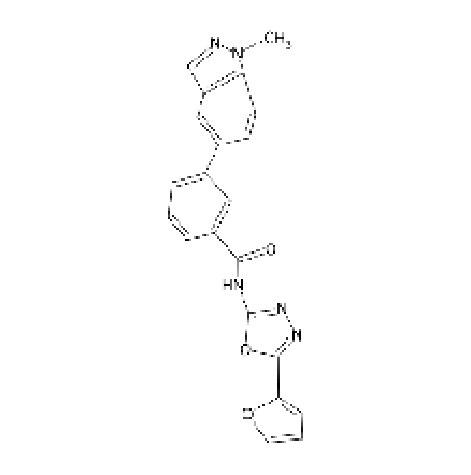 Cn1ncc2cc(-c3cccc(C(=O)Nc4nnc(-c5ccco5)o4)c3)ccc21